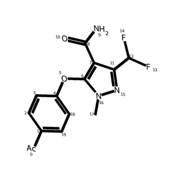 CC(=O)c1ccc(Oc2c(C(N)=O)c(C(F)F)nn2C)cc1